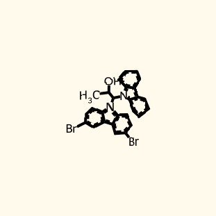 CC(O)C(n1c2ccccc2c2ccccc21)n1c2ccc(Br)cc2c2cc(Br)ccc21